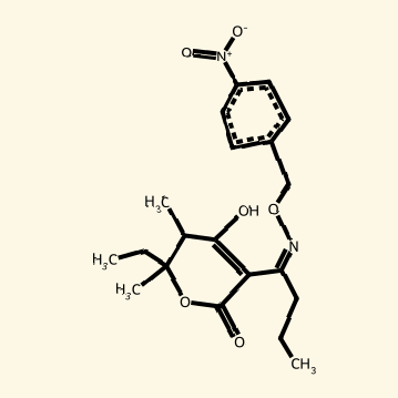 CCCC(=NOCc1ccc([N+](=O)[O-])cc1)C1=C(O)C(C)C(C)(CC)OC1=O